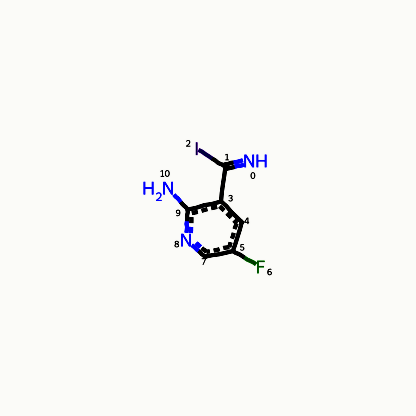 N=C(I)c1cc(F)cnc1N